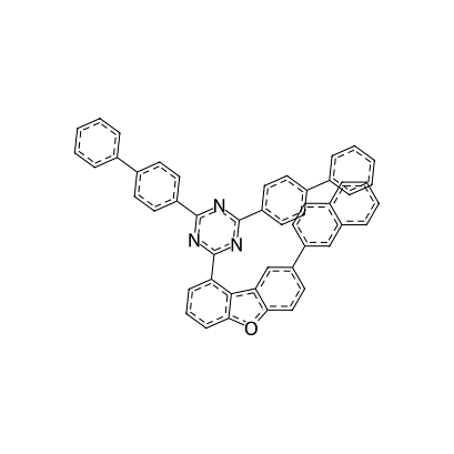 c1ccc(-c2ccc(-c3nc(-c4ccc(-c5ccccc5)cc4)nc(-c4cccc5oc6ccc(-c7ccc8ccccc8c7)cc6c45)n3)cc2)cc1